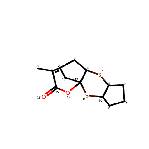 CC1=C2CC3SC4CCCC4SC3(C2)OC1=O